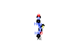 CC(=O)c1ccc(NC(=O)N2CCN(c3nc(Nc4ccc(N5CCOCC5)cc4)nc4ccsc34)CC2)cc1